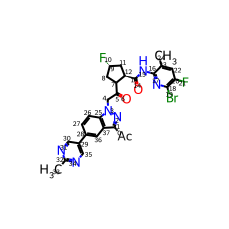 CC(=O)c1nn(CC(=O)C2C[C@H](F)C[C@H]2C(=O)Nc2nc(Br)c(F)cc2C)c2ccc(-c3cnc(C)nc3)cc12